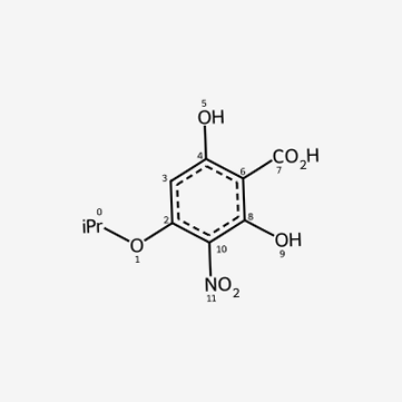 CC(C)Oc1cc(O)c(C(=O)O)c(O)c1[N+](=O)[O-]